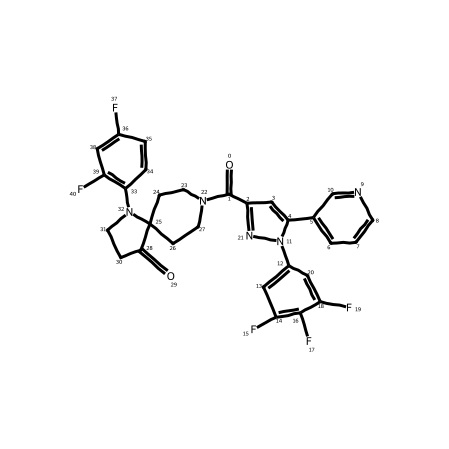 O=C(c1cc(-c2cccnc2)n(-c2cc(F)c(F)c(F)c2)n1)N1CCC2(CC1)C(=O)CCN2c1ccc(F)cc1F